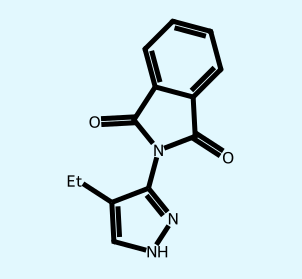 CCc1c[nH]nc1N1C(=O)c2ccccc2C1=O